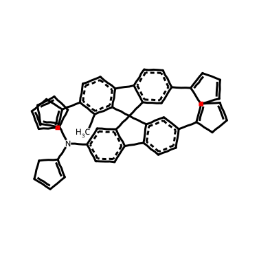 Cc1c(C2=CC=CC2)ccc2c1C1(c3cc(C4=CC=CC4)ccc3-c3ccc(N(C4=CC=CC4)C4=CC=CC4)cc31)c1cc(C3=CC=CC3)ccc1-2